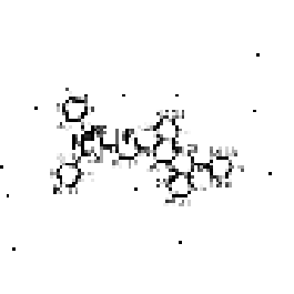 c1ccc(-c2nc(-c3ccccc3)nc(-c3ccc(-c4cc5c6ccccc6c(-c6ccccc6)cc5c5ccccc45)cn3)n2)cc1